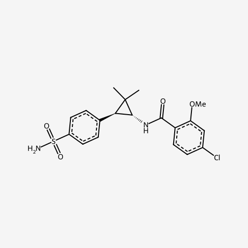 COc1cc(Cl)ccc1C(=O)N[C@@H]1[C@@H](c2ccc(S(N)(=O)=O)cc2)C1(C)C